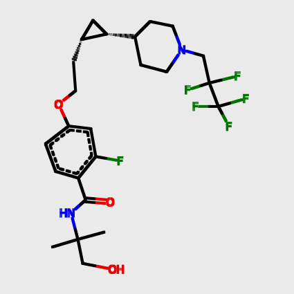 CC(C)(CO)NC(=O)c1ccc(OCC[C@@H]2C[C@@H]2C2CCN(CC(F)(F)C(F)(F)F)CC2)cc1F